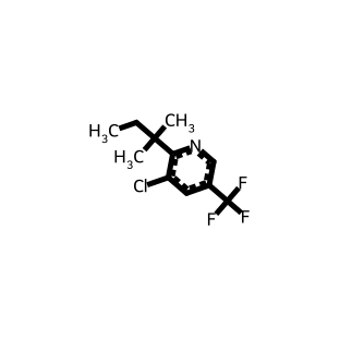 CCC(C)(C)c1ncc(C(F)(F)F)cc1Cl